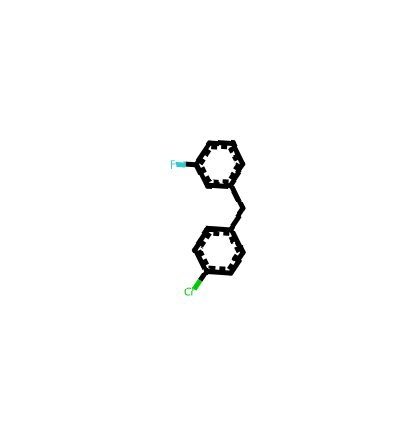 Fc1cccc(Cc2ccc(Cl)cc2)c1